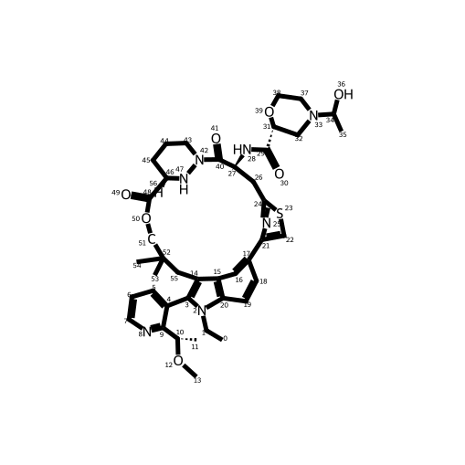 CCn1c(-c2cccnc2[C@H](C)OC)c2c3cc(ccc31)-c1csc(n1)C[C@H](NC(=O)[C@H]1CN(C(C)O)CCO1)C(=O)N1CCC[C@H](N1)C(=O)OCC(C)(C)C2